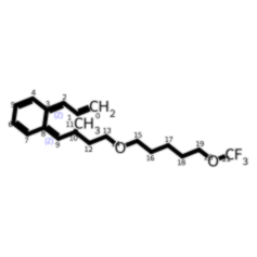 C=C/C=c1/cccc/c1=C/C(C)CCOCCCCCOC(F)(F)F